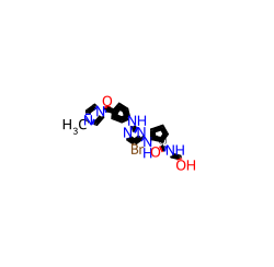 CN1CCN(C(=O)c2ccc(Nc3ncc(Br)c(N[C@@H]4CCC[C@@H]4C(=O)NCCO)n3)cc2)CC1